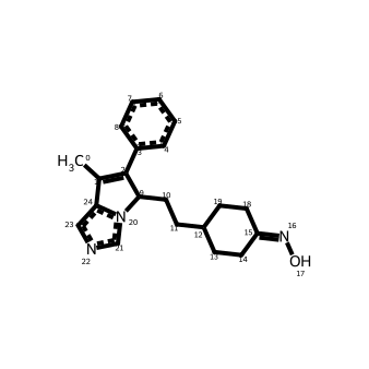 CC1=C(c2ccccc2)C(CCC2CCC(=NO)CC2)n2cncc21